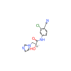 C[C@](O)(Cn1ccnc1)C(=O)Nc1ccc(C#N)c(Cl)c1